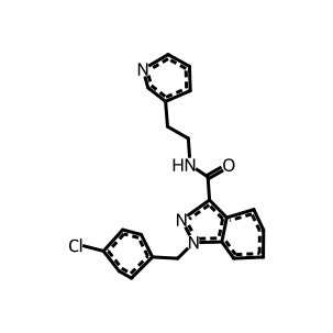 O=C(NCCc1cccnc1)c1nn(Cc2ccc(Cl)cc2)c2ccccc12